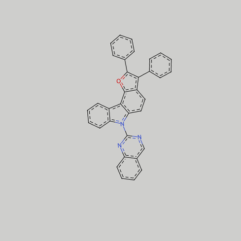 c1ccc(-c2oc3c(ccc4c3c3ccccc3n4-c3ncc4ccccc4n3)c2-c2ccccc2)cc1